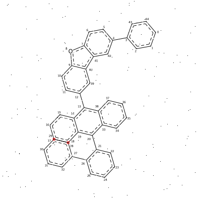 c1ccc(-c2ccc3oc4ccc(-c5c6ccccc6c(-c6ccccc6-c6ccccc6)c6ccccc56)cc4c3c2)cc1